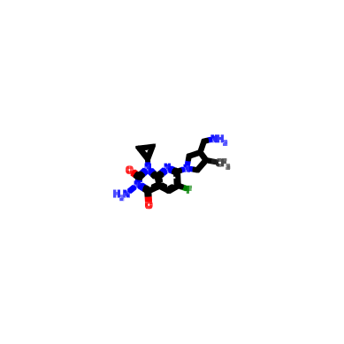 NCC1CN(c2nc3c(cc2F)c(=O)n(N)c(=O)n3C2CC2)CC1C(F)(F)F